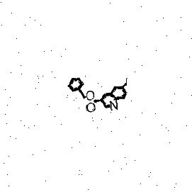 O=C(OCc1ccccc1)c1cnc2ccc(I)cc2c1